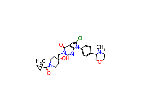 CN1CCOCC1c1ccc(-n2c(Cl)cc3c(=O)n(CC4(O)CCN(C(=O)C5(C)CC5)CC4)cnc32)cc1